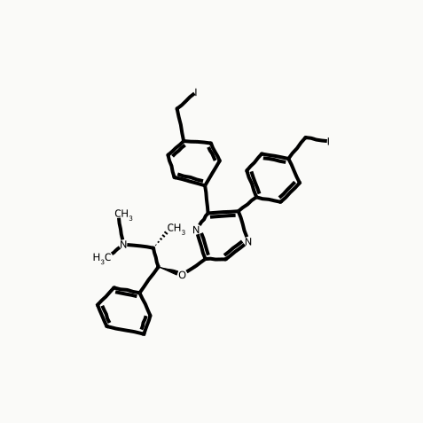 C[C@H]([C@@H](Oc1cnc(-c2ccc(CI)cc2)c(-c2ccc(CI)cc2)n1)c1ccccc1)N(C)C